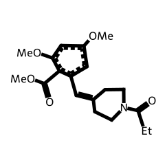 CCC(=O)N1CCC(=Cc2cc(OC)cc(OC)c2C(=O)OC)CC1